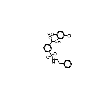 O=C(Nc1cc(Cl)ccc1O)c1cccc(S(=O)(=O)NCCc2ccccc2)c1